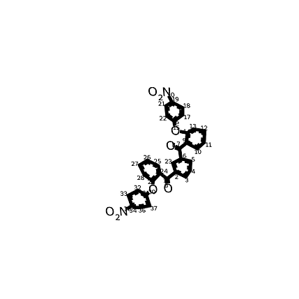 O=C(c1cccc(C(=O)c2ccccc2Oc2ccc([N+](=O)[O-])cc2)c1)c1ccccc1Oc1ccc([N+](=O)[O-])cc1